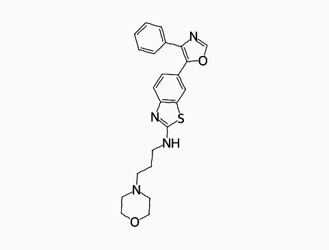 c1ccc(-c2ncoc2-c2ccc3nc(NCCCN4CCOCC4)sc3c2)cc1